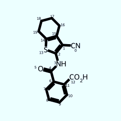 N#Cc1c(NC(=O)c2ccccc2C(=O)O)sc2c1CCCC2